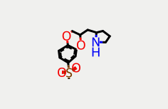 CS(=O)(=O)c1ccc2c(c1)OC(CC1CCCN1)CO2